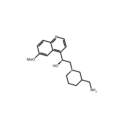 COc1ccc2nccc([C@H](O)CN3CCCC(CN)C3)c2c1